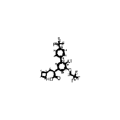 O=C(O)C(CC1CCC1)c1cc(OCC(F)(F)F)c(Cl)c(-c2ccc(C(F)(F)F)cc2)c1